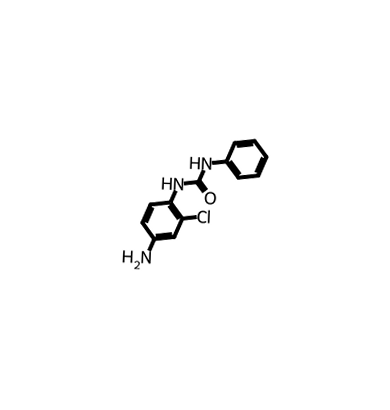 Nc1ccc(NC(=O)Nc2ccccc2)c(Cl)c1